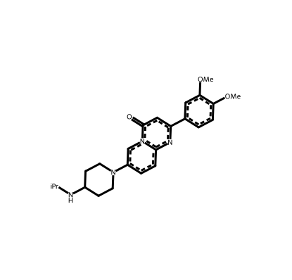 COc1ccc(-c2cc(=O)n3cc(N4CCC(NC(C)C)CC4)ccc3n2)cc1OC